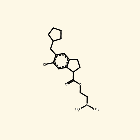 CN(C)CCOC(=O)C1CCc2cc(CC3CCCC3)c(Cl)cc21